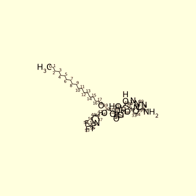 CCCCCCCCCCCCCCCCCCOC[C@H](COP(=O)(O)O[C@H]1O[C@@](C#N)(c2ccc3c(N)ncnn23)[C@H](O)[C@@H]1O)OCc1ccc(C(F)(F)F)nc1